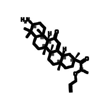 C=CCON(C)C(=O)[C@@]1(C)CC[C@]2(C)CC[C@]3(C)C(=CC(=O)[C@@H]4[C@@]5(C)CC[C@H](N)C(C)(C)C5CC[C@]43C)[C@@H]2C1